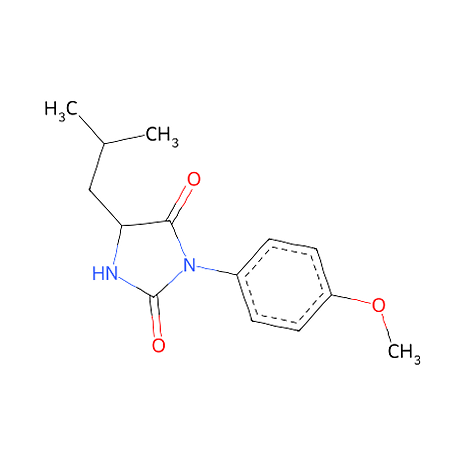 COc1ccc(N2C(=O)NC(CC(C)C)C2=O)cc1